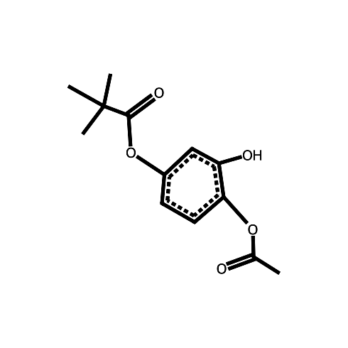 CC(=O)Oc1ccc(OC(=O)C(C)(C)C)cc1O